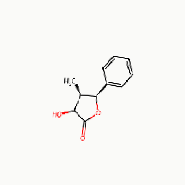 C[C@@H]1[C@H](O)C(=O)O[C@@H]1c1ccccc1